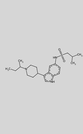 CCC(C)N1CCC(c2c[nH]c3ccc(NS(=O)(=O)CC(C)C)cc23)CC1